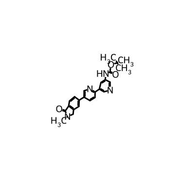 CN1Cc2cc(-c3ccc(-c4cncc(NC(=O)OC(C)(C)C)c4)nc3)ccc2C1=O